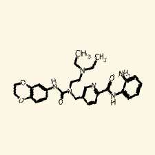 CCN(CC)CCN(Cc1ccc(C(=O)Nc2ccccc2N)nc1)C(=O)Nc1ccc2c(c1)OCCO2